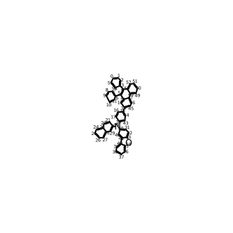 c1ccc(-c2c(-c3ccccc3)c3cc(-c4ccc(N(c5ccc6ccccc6c5)c5ccc6oc7ccccc7c6c5)cc4)ccc3c3ccccc23)cc1